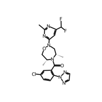 Cc1nc(C(F)F)cc(N2C[C@H](C)N(C(=O)c3cc(Cl)ccc3-n3nccn3)[C@H](C)CO2)n1